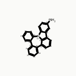 Nc1ccc2c(c1)c1cccc3c1n2-c1ccccc1-c1ccccc1-3